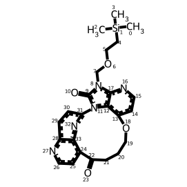 C[Si](C)(C)CCOCn1c(=O)n2c3c(ccnc31)OCCCC(=O)c1ccnc3ccc-2nc13